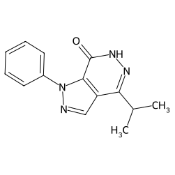 CC(C)c1n[nH]c(=O)c2c1cnn2-c1ccccc1